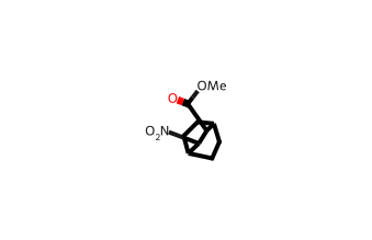 COC(=O)C1C2CCC(CC2)C1[N+](=O)[O-]